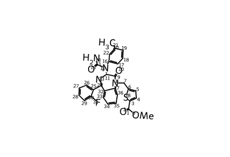 COC(=O)c1ccc(CN2C(=O)[C@@H](N(C(N)=O)c3cccc(C)c3)N=C(c3ccccc3F)c3ccccc32)s1